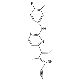 Cc1cc(Nc2nccc(-c3c(C)[nH]c(C#N)c3C)n2)ccc1F